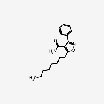 CCCCCCCCc1onc(-c2ccccc2)c1C(N)=O